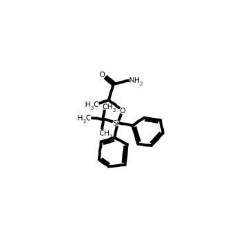 CC(O[Si](c1ccccc1)(c1ccccc1)C(C)(C)C)C(N)=O